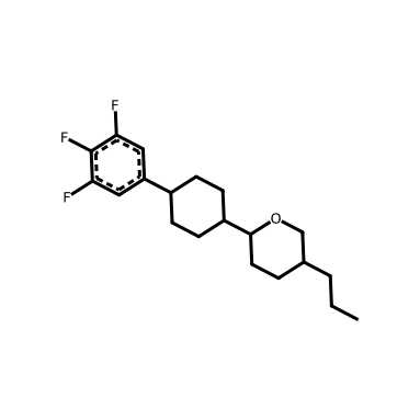 CCCC1CCC(C2CCC(c3cc(F)c(F)c(F)c3)CC2)OC1